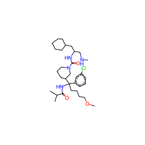 CNCC(CC1CCCCC1)NC(=O)N1CCCC(C(CCCCOC)(NC(=O)C(C)C)c2cccc(Cl)c2)C1